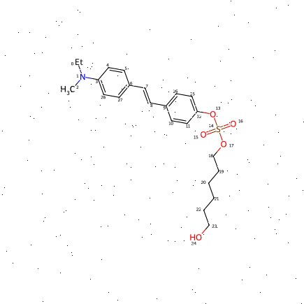 CCN(C)c1ccc(C=Cc2ccc(OS(=O)(=O)OCCCCCCO)cc2)cc1